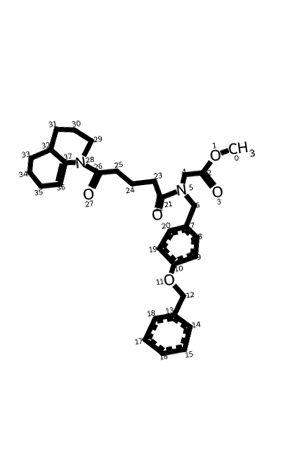 COC(=O)CN(Cc1ccc(OCc2ccccc2)cc1)C(=O)CCCC(=O)N1CCCC2CCCC=C21